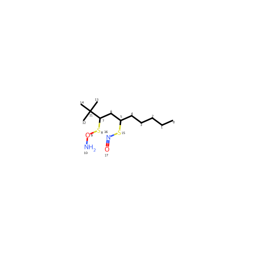 CCCCCC(CC(SON)C(C)(C)C)SN=O